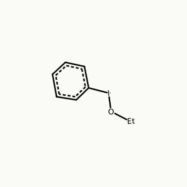 CCO[I]c1ccccc1